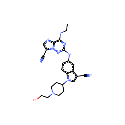 CCNc1nc(Nc2ccc3c(c2)c(C#N)cn3C2CCN(CCO)CC2)nn2c(C#N)cnc12